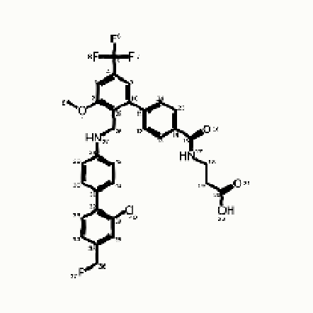 COc1cc(C(F)(F)F)cc(-c2ccc(C(=O)NCCC(=O)O)cc2)c1CNc1ccc(-c2ccc(CF)cc2Cl)cc1